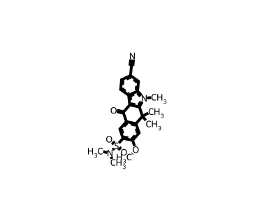 COc1cc2c(cc1S(=O)(=O)N(C)C)C(=O)c1c(n(C)c3cc(C#N)ccc13)C2(C)C